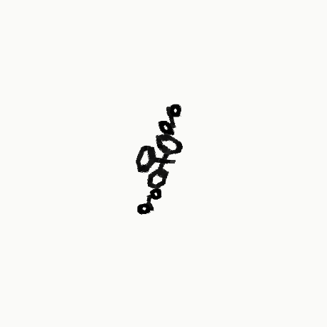 CC(c1ccccc1)(c1ccc(OCC2CO2)cc1)c1ccc(OCC2CO2)cc1